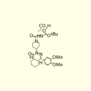 COc1ccc(C2=NN(C3CCN(C(=O)[C@H](CCC(=O)O)NC(=O)OC(C)(C)C)CC3)C(=O)[C@@H]3CCCC[C@H]23)cc1OC